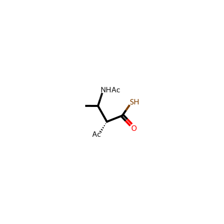 CC(=O)NC(C)[C@@H](C(C)=O)C(=O)S